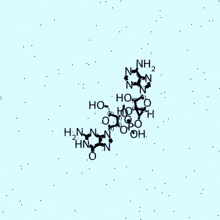 CO[C@H]1[C@@H](OP(=O)(O)OC2[C@H]3O[C@@H](n4cnc5c(N)ncnc54)[C@H](O)[C@@]23O)[C@H](n2cnc3c(=O)[nH]c(N)nc32)O[C@@H]1CO